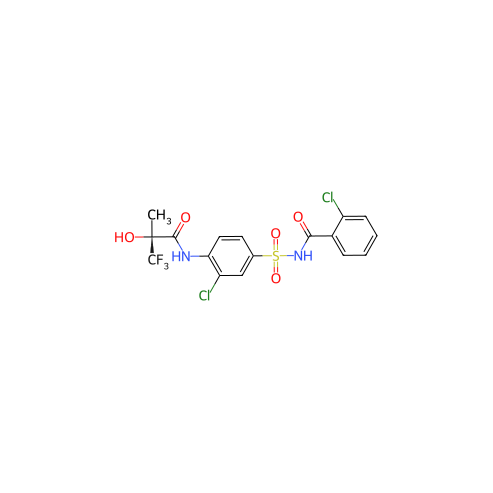 C[C@@](O)(C(=O)Nc1ccc(S(=O)(=O)NC(=O)c2ccccc2Cl)cc1Cl)C(F)(F)F